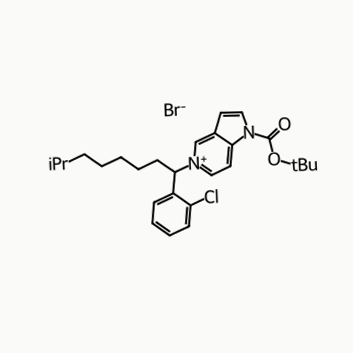 CC(C)CCCCCC(c1ccccc1Cl)[n+]1ccc2c(ccn2C(=O)OC(C)(C)C)c1.[Br-]